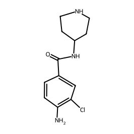 Nc1ccc(C(=O)NC2CCNCC2)cc1Cl